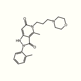 Cc1ccccc1-n1[nH]c2cc(=O)n(CCCN3CCOCC3)c(C)c2c1=O